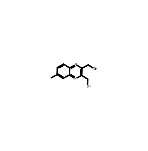 Cc1ccc2nc(CS)c(CS)nc2c1